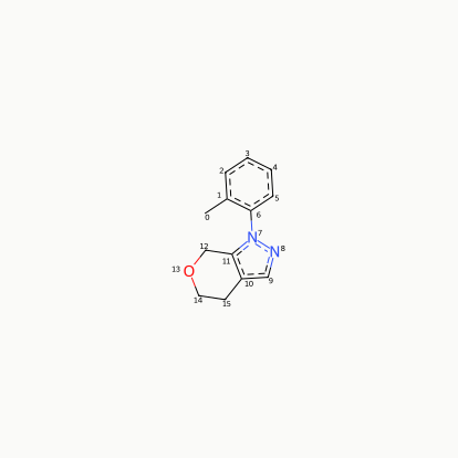 Cc1ccccc1-n1ncc2c1COCC2